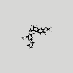 Cc1nc(NC2(c3cc4cc(Cl)c(OC(F)(F)F)cc4[nH]c3=O)CC2)nc(N2CCOC2=O)n1